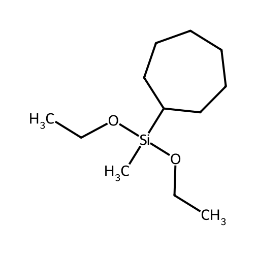 CCO[Si](C)(OCC)C1CCCCCC1